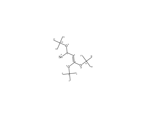 CC(C)(C)OC(=C[CH]([Sn])OC(C)(C)C)OC(C)(C)C